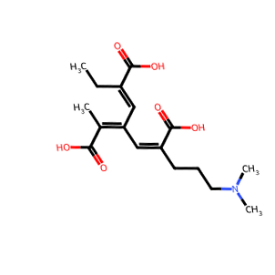 CCC(=CC(C=C(CCCN(C)C)C(=O)O)=C(C)C(=O)O)C(=O)O